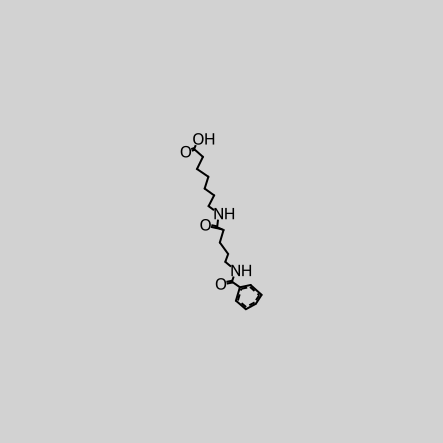 O=C(O)CCCCCCNC(=O)CCCCNC(=O)c1ccccc1